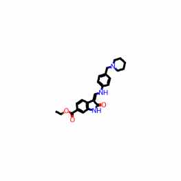 CCOC(=O)c1ccc2c(c1)NC(=O)/C2=C\Nc1ccc(CN2CCCCC2)cc1